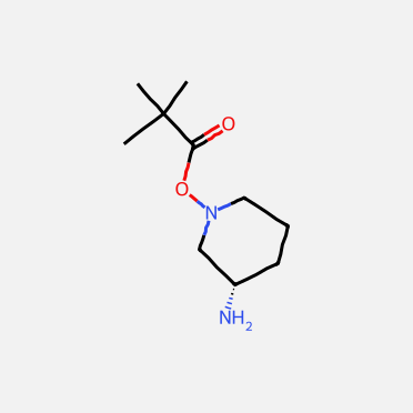 CC(C)(C)C(=O)ON1CCC[C@H](N)C1